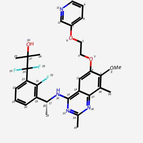 COc1c(OCCOc2cccnc2)cc2c(N[C@H](C)c3cccc(C(F)(F)C(C)(C)O)c3F)nc(C)nc2c1C